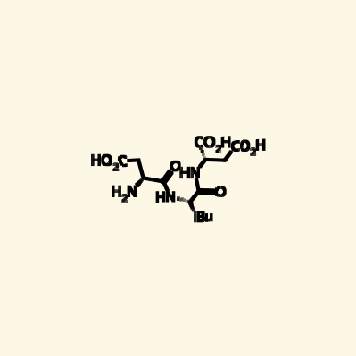 CC[C@H](C)[C@H](NC(=O)[C@@H](N)CC(=O)O)C(=O)N[C@@H](CC(=O)O)C(=O)O